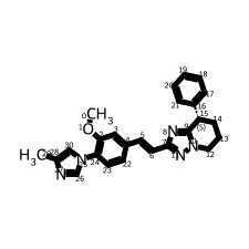 COc1cc(C=Cc2nc3n(n2)CCC[C@H]3c2ccccc2)ccc1-n1cnc(C)c1